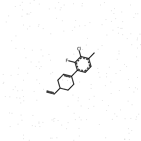 C=CC1CC=C(c2ccc(C)c(Cl)c2F)CC1